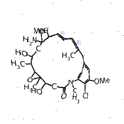 COc1cc2cc(c1Cl)N(C)C(=O)CC(O)C1(C)OC1C(C)C(O)CC(N)(O)C(OC)/C=C/C=C(\C)C2